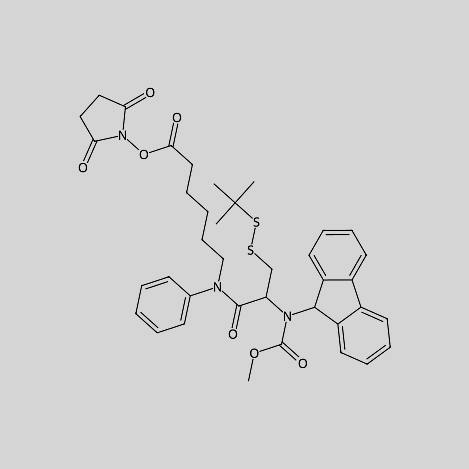 COC(=O)N(C(CSSC(C)(C)C)C(=O)N(CCCCCC(=O)ON1C(=O)CCC1=O)c1ccccc1)C1c2ccccc2-c2ccccc21